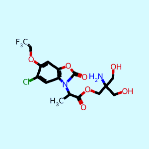 CC(C(=O)OCC(N)(CO)CO)n1c(=O)oc2cc(OCC(F)(F)F)c(Cl)cc21